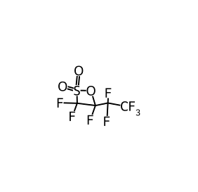 O=S1(=O)OC(F)(C(F)(F)C(F)(F)F)C1(F)F